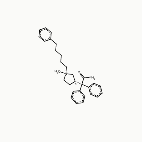 C[N+]1(CCCCCc2ccccc2)CC[C@@H](C(C(N)=O)(c2ccccc2)c2ccccc2)C1